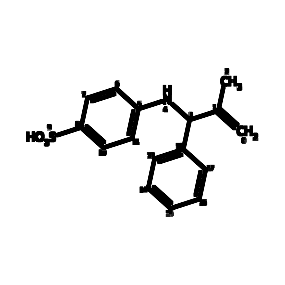 C=C(C)C(Nc1ccc(S(=O)(=O)O)cc1)c1ccccc1